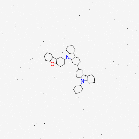 C1CCC(N2C3CCCCC3C3CC(C4CCC5C6CCCCC6N(C6CCC7OC8CCCCC8C7C6)C5C4)CCC32)CC1